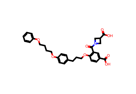 O=C(O)c1ccc(OCCCc2ccc(OCCCCOc3ccccc3)cc2)c(C(=O)N2CC(C(=O)O)C2)c1